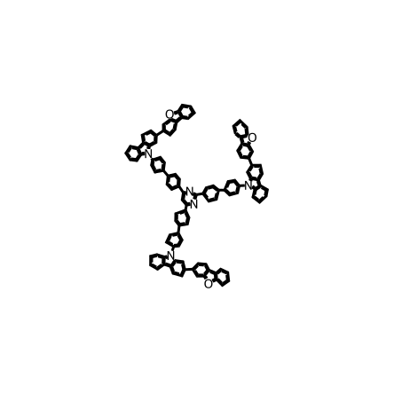 c1ccc2c(c1)oc1cc(-c3ccc4c5ccccc5n(-c5ccc(-c6ccc(-c7cc(-c8ccc(-c9ccc(-n%10c%11ccccc%11c%11ccc(-c%12ccc%13c(c%12)oc%12ccccc%12%13)cc%11%10)cc9)cc8)nc(-c8ccc(-c9ccc(-n%10c%11ccccc%11c%11ccc(-c%12ccc%13c(c%12)oc%12ccccc%12%13)cc%11%10)cc9)cc8)n7)cc6)cc5)c4c3)ccc12